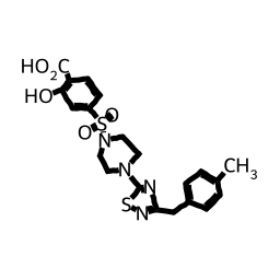 Cc1ccc(Cc2nsc(N3CCN(S(=O)(=O)c4ccc(C(=O)O)c(O)c4)CC3)n2)cc1